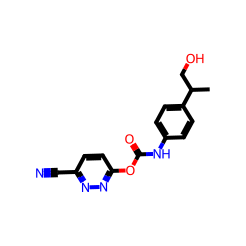 CC(CO)c1ccc(NC(=O)Oc2ccc(C#N)nn2)cc1